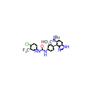 CC(C)(C)N(C(=O)O)c1ccc2[nH]cnc2c1-c1ccc(NC(=O)Nc2ccc(Cl)c(C(F)(F)F)c2)cc1